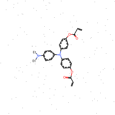 C=CC(=O)Oc1ccc(N(c2ccc(OC(=O)C=C)cc2)c2ccc(N(CC)CC)cc2)cc1